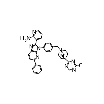 Nc1ncccc1-c1nc2ccc(-c3ccccc3)nc2n1-c1ccc(CN2CC3CCC2CN3c2ncnc(Cl)n2)cc1